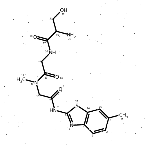 Cc1ccc2nc(NC(=O)CN(C)C(=O)CNC(=O)C(N)CO)sc2c1